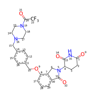 O=C1CCC(N2Cc3c(OCc4ccc(CN5CCN(C(=O)C(F)(F)F)CC5)cc4)cccc3C2=O)C(=O)N1